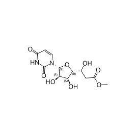 COC(=O)CC(O)[C@H]1O[C@@H](n2ccc(=O)[nH]c2=O)[C@H](O)[C@@H]1O